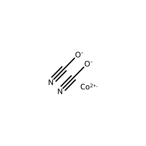 N#C[O-].N#C[O-].[Co+2]